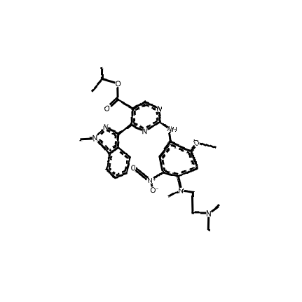 COc1cc(N(C)CCN(C)C)c([N+](=O)[O-])cc1Nc1ncc(C(=O)OC(C)C)c(-c2nn(C)c3ccccc23)n1